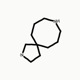 C1CNCCCC2(C1)CC[N]C2